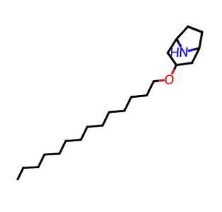 CCCCCCCCCCCCCCOC1CC2CCC(C1)N2